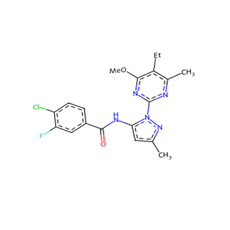 CCc1c(C)nc(-n2nc(C)cc2NC(=O)c2ccc(Cl)c(F)c2)nc1OC